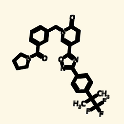 CC(C)(c1ccc(-c2noc(-c3ccc(=O)n(Cc4cccc(C(=O)N5CCCC5)c4)c3)n2)cc1)C(F)(F)F